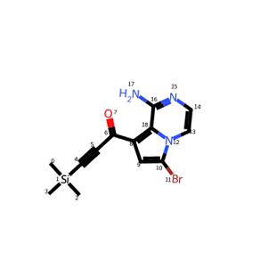 C[Si](C)(C)C#CC(=O)c1cc(Br)n2ccnc(N)c12